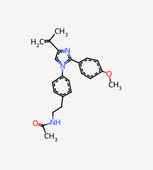 C=C(C)c1cn(-c2ccc(CCNC(C)=O)cc2)c(-c2ccc(OC)cc2)n1